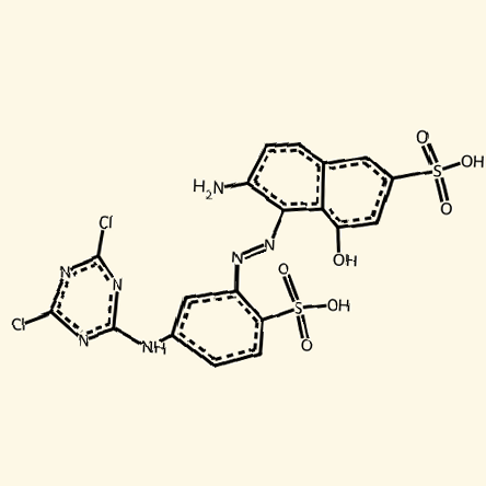 Nc1ccc2cc(S(=O)(=O)O)cc(O)c2c1N=Nc1cc(Nc2nc(Cl)nc(Cl)n2)ccc1S(=O)(=O)O